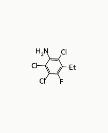 CCc1c(F)c(Cl)c(Cl)c(N)c1Cl